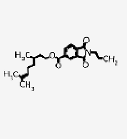 C=CCN1C(=O)c2ccc(C(=O)OCCC(C)CCC=C(C)C)cc2C1=O